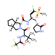 CC(C)(C)[C@@H](NC(=O)C(F)(F)F)C(=O)N1C[C@@H]2CCC[C@@H]2[C@@H]1C(=O)N[C@@H](/C=C(/F)S(C)(=O)=O)C[C@H]1CCNC1=O